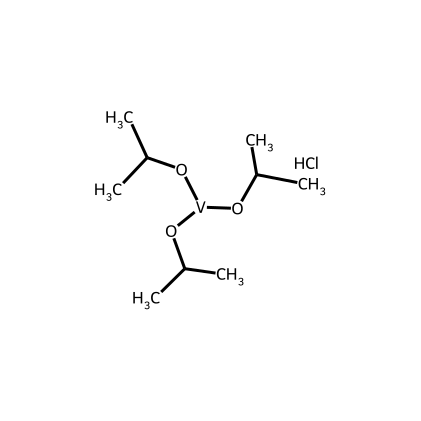 CC(C)[O][V]([O]C(C)C)[O]C(C)C.Cl